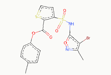 Cc1ccc(OC(=O)c2sccc2S(=O)(=O)Nc2onc(C)c2Br)cc1